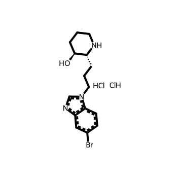 Cl.Cl.O[C@H]1CCCN[C@@H]1CCCn1cnc2cc(Br)ccc21